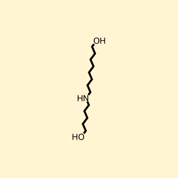 OCCCCCCCCNCCCCCO